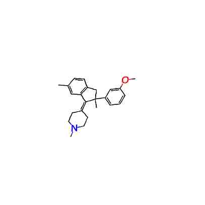 COc1cccc(C2(C)Cc3ccc(C)cc3C2=C2CCN(C)CC2)c1